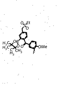 CCS(=O)(=O)Cc1ccc(C(=O)c2ccc(OC)c(F)c2)c(B2OC(C)(C)C(C)(C)O2)c1